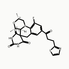 C[C@@H]1CN2c3c(F)cc(C(=O)CCc4nccs4)cc3CC3(C(=O)NC(=O)NC3=O)[C@H]2[C@H](C)O1